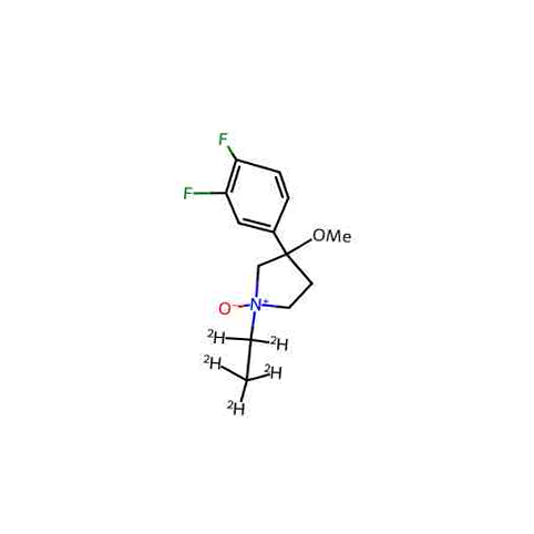 [2H]C([2H])([2H])C([2H])([2H])[N+]1([O-])CCC(OC)(c2ccc(F)c(F)c2)C1